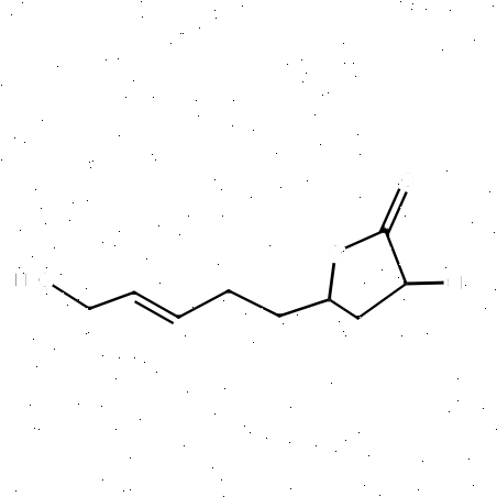 CCC=CCCC1CC(C)C(=O)O1